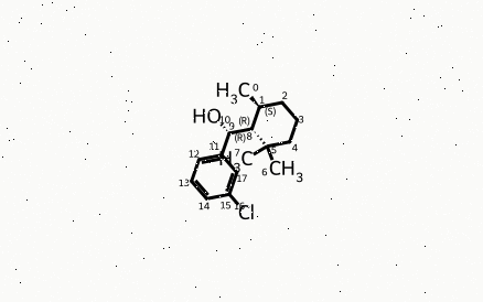 C[C@H]1CCCC(C)(C)[C@@H]1[C@@H](O)c1cccc(Cl)c1